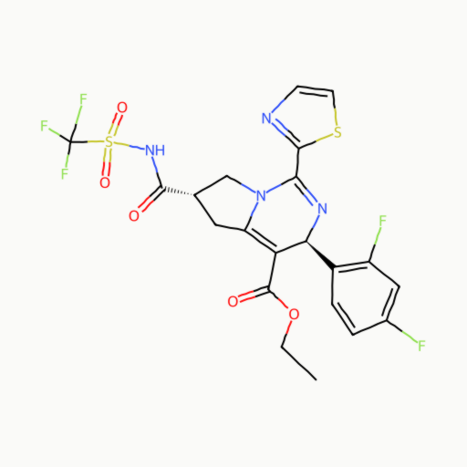 CCOC(=O)C1=C2C[C@H](C(=O)NS(=O)(=O)C(F)(F)F)CN2C(c2nccs2)=N[C@H]1c1ccc(F)cc1F